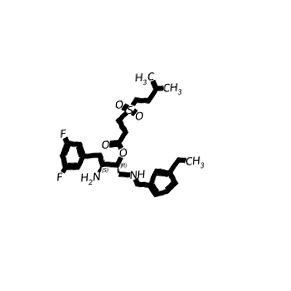 CCc1cccc(CNC[C@@H](OC(=O)CCS(=O)(=O)CCC(C)C)[C@@H](N)Cc2cc(F)cc(F)c2)c1